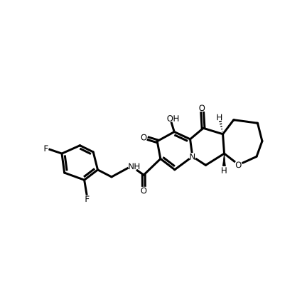 O=C(NCc1ccc(F)cc1F)c1cn2c(c(O)c1=O)C(=O)[C@H]1CCCCO[C@@H]1C2